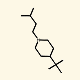 CC(C)CCN1CCC(C(C)(C)C)CC1